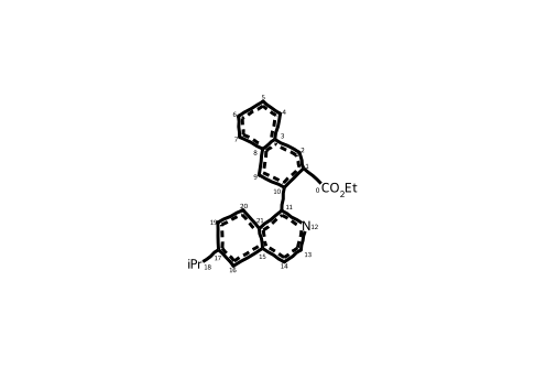 CCOC(=O)c1cc2ccccc2cc1-c1nccc2cc(C(C)C)ccc12